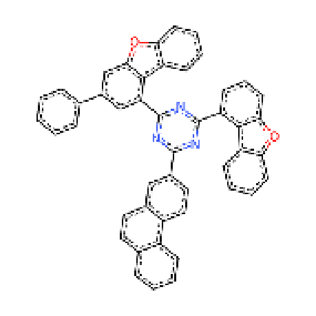 c1ccc(-c2cc(-c3nc(-c4ccc5c(ccc6ccccc65)c4)nc(-c4cccc5oc6ccccc6c45)n3)c3c(c2)oc2ccccc23)cc1